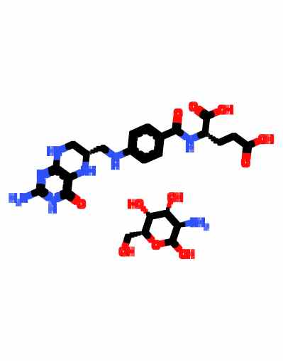 N[C@H]1C(O)O[C@H](CO)[C@H](O)[C@@H]1O.Nc1nc2c(c(=O)[nH]1)N[C@@H](CNc1ccc(C(=O)N[C@@H](CCC(=O)O)C(=O)O)cc1)CN2